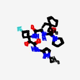 Cn1ccc(NC(=O)C(=O)[C@]2(NC(=O)[C@H](CC3(C)CCCC3)NC(=O)N3CCCC3)C[C@H](F)C2)n1